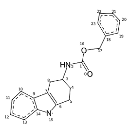 O=C(NC1CCC2=C(C1)c1ccccc1[N]2)OCc1ccccc1